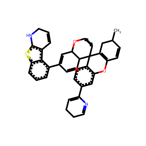 CC1C=CC2=C(C1)C1(C3=CCCC=C3OC3C=C(c4cccc5sc6c(c45)C=CCN6)C=CC31)c1ccc(C3=CCCC=N3)cc1O2